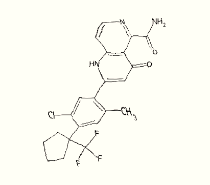 Cc1cc(C2(C(F)(F)F)CCCC2)c(Cl)cc1-c1cc(=O)c2c(C(N)=O)nccc2[nH]1